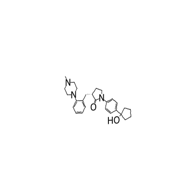 CN1CCN(c2ccccc2C[C@@H]2CCN(c3ccc(C4(O)CCCC4)cc3)C2=O)CC1